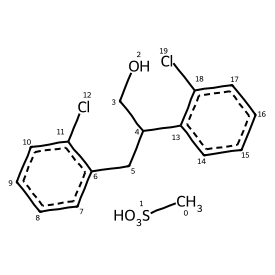 CS(=O)(=O)O.OCC(Cc1ccccc1Cl)c1ccccc1Cl